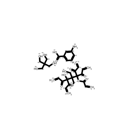 C=CC(=O)OC(C(=O)C=C)(C(=O)C=C)C(CO)(CO)C(O)(C(=O)C=C)C(=O)C=C.Nc1cccc(C(=O)O)c1.OCC(CO)(CO)CO